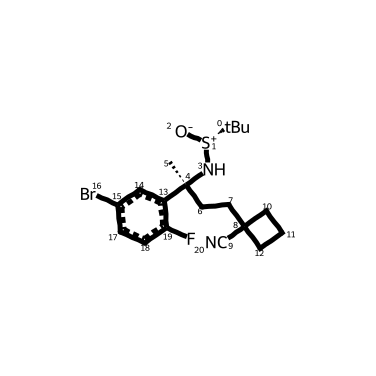 CC(C)(C)[S@@+]([O-])N[C@@](C)(CCC1(C#N)CCC1)c1cc(Br)ccc1F